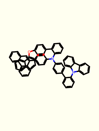 c1ccc(N(c2ccc(-c3ccccc3-n3c4ccccc4c4ccccc43)cc2)c2ccc(-c3cc4ccccc4c4ccccc34)cc2)c(-c2ccc3oc4c5ccccc5ccc4c3c2)c1